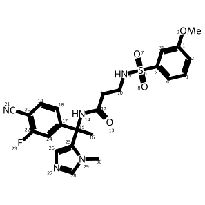 COc1cccc(S(=O)(=O)NCCC(=O)NC(C)(c2ccc(C#N)c(F)c2)c2cncn2C)c1